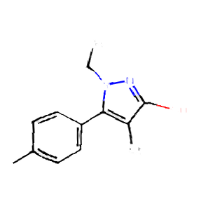 CCc1c(O)nn(CC(C)C)c1-c1ccc(C)cc1